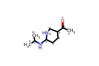 CC(=O)C1CCC(NC(C)C)NC1